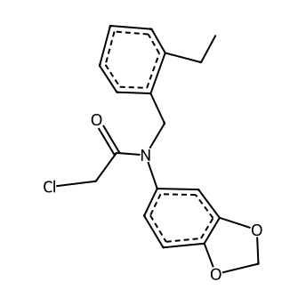 CCc1ccccc1CN(C(=O)CCl)c1ccc2c(c1)OCO2